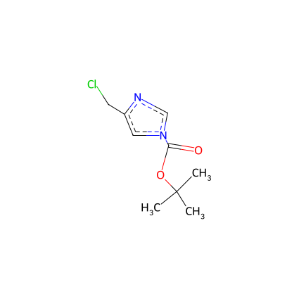 CC(C)(C)OC(=O)n1cnc(CCl)c1